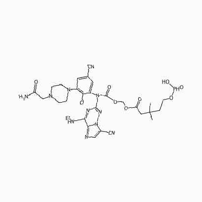 CCNc1nc(N(C(=O)OCOC(=O)CC(C)(C)CCO[PH](=O)O)c2cc(C#N)cc(N3CCN(CC(N)=O)CC3)c2Cl)nn2c(C#N)cnc12